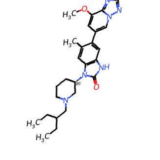 CCC(CC)CN1CCC[C@@H](n2c(=O)[nH]c3cc(-c4cc(OC)c5ncnn5c4)c(C)cc32)C1